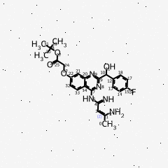 C/C(N)=C/C(=N)Nc1nc(C(O)c2ccc(F)cc2)nc2cc(OCC(=O)OC(C)(C)C)ccc12